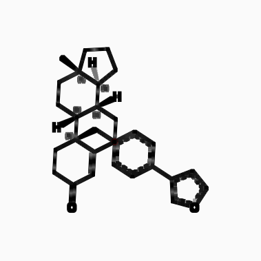 C[C@@]12CCC[C@H]1[C@@H]1CCC3=CC(=O)CC[C@]3(Cc3ccc(-c4ccoc4)cc3)[C@@H]1CC2